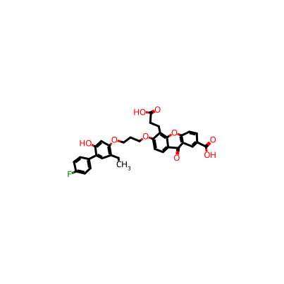 CCc1cc(-c2ccc(F)cc2)c(O)cc1OCCCOc1ccc2c(=O)c3cc(C(=O)O)ccc3oc2c1CCC(=O)O